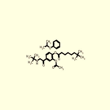 CC(=O)Oc1cc(C(=O)CNC(C)(C)C)ccc1OC(=O)CCCCCC(C)(C)C.CC(C)Oc1ccccc1